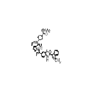 COC(=O)C1CCC(NC(=O)c2c(F)ccn2C(=O)C(F)c2ccc(NC(=O)c3cn(C)c4ccccc34)c(Cl)c2)CC1